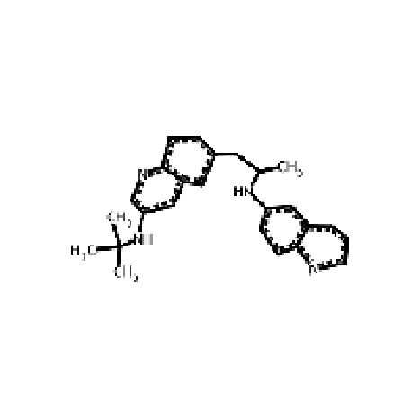 CC(Cc1ccc2ncc(NC(C)(C)C)cc2c1)Nc1ccc2ncccc2c1